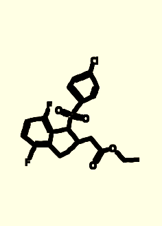 CCOC(=O)CC1CCc2c(F)ccc(F)c2C1S(=O)(=O)c1ccc(Cl)cc1